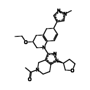 CCOC1CC2=C(C=CC(c3cnn(C)c3)C2)N(c2nn([C@H]3CCOC3)c3c2CN(C(C)=O)CC3)C1